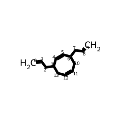 C=CCC1/C=C\C(CC=C)C/C=C\C1